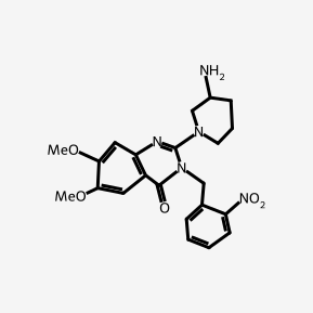 COc1cc2nc(N3CCCC(N)C3)n(Cc3ccccc3[N+](=O)[O-])c(=O)c2cc1OC